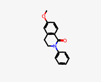 COc1ccc2c(c1)CCN(c1ccccc1)C2=O